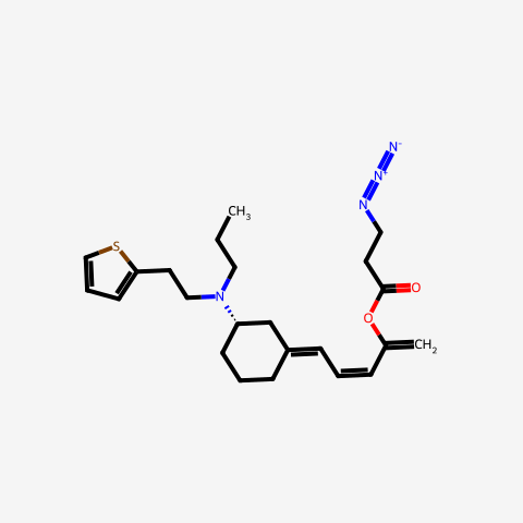 C=C(/C=C\C=C1/CCC[C@H](N(CCC)CCc2cccs2)C1)OC(=O)CCN=[N+]=[N-]